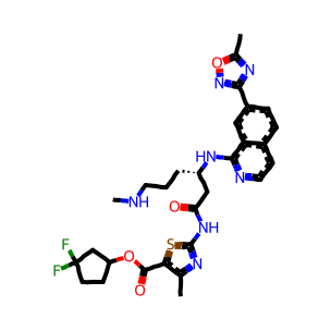 CNCCC[C@@H](CC(=O)Nc1nc(C)c(C(=O)OC2CCC(F)(F)C2)s1)Nc1nccc2ccc(-c3noc(C)n3)cc12